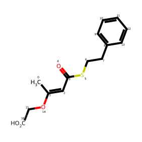 C/C(=C\C(=O)SCCc1ccccc1)OCC(=O)O